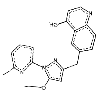 COc1cc(Cc2ccc3nccc(O)c3c2)nn1-c1cccc(C)n1